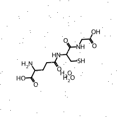 NC(CCC(=O)NC(CS)C(=O)NCC(=O)O)C(=O)O.O.O